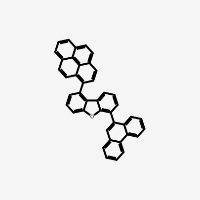 c1ccc2c(c1)cc(-c1cccc3c1oc1cccc(-c4ccc5ccc6cccc7ccc4c5c67)c13)c1ccccc12